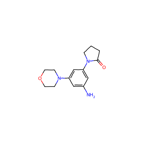 Nc1cc(N2CCOCC2)cc(N2CCCC2=O)c1